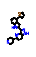 c1csc(-c2cccc3[nH]c(-c4n[nH]c5ccc(-c6ccncc6)nc45)cc23)c1